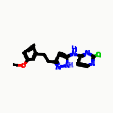 COc1cccc(CCc2cc(Nc3ccnc(Cl)n3)[nH]n2)c1